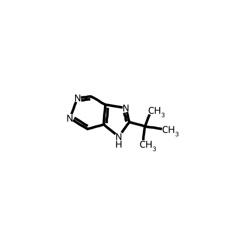 CC(C)(C)c1nc2cnncc2[nH]1